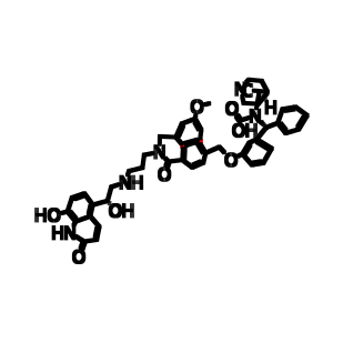 COc1cccc(CN(CCCNC[C@H](O)c2ccc(O)c3[nH]c(=O)ccc23)C(=O)c2ccc(COc3cccc([C@H](c4ccccc4)N(C(=O)O)[C@H]4CN5CCC4CC5)c3)cc2)c1